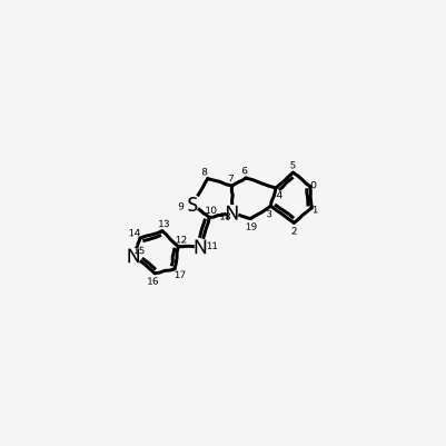 c1ccc2c(c1)CC1CSC(=Nc3ccncc3)N1C2